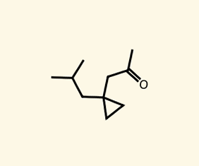 CC(=O)CC1(CC(C)C)CC1